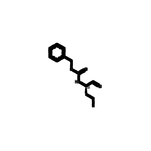 CCC[C@@H]([C]=O)NC(=O)OCc1ccccc1